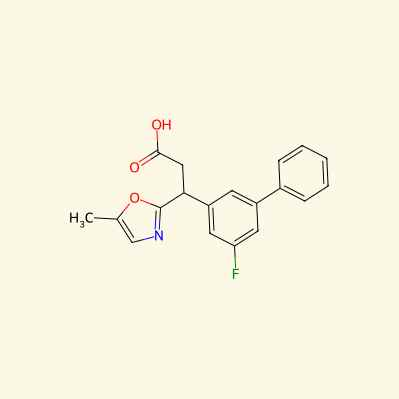 Cc1cnc(C(CC(=O)O)c2cc(F)cc(-c3ccccc3)c2)o1